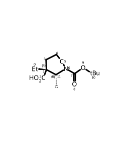 CC[C@@]1(C(=O)O)CCCN(C(=O)OC(C)(C)C)[C@@H]1C